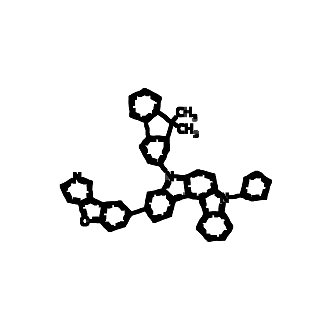 CC1(C)c2ccccc2-c2ccc(-n3c4cc(-c5ccc6oc7ccncc7c6c5)ccc4c4c5c6ccccc6n(-c6ccccc6)c5ccc43)cc21